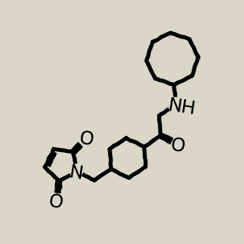 O=C(CNC1CCCCCCC1)C1CCC(CN2C(=O)C=CC2=O)CC1